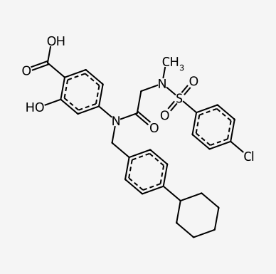 CN(CC(=O)N(Cc1ccc(C2CCCCC2)cc1)c1ccc(C(=O)O)c(O)c1)S(=O)(=O)c1ccc(Cl)cc1